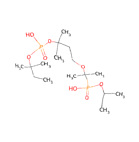 CCC(C)(C)OP(=O)(O)OC(C)(C)CCOC(C)(C)P(=O)(O)OC(C)C